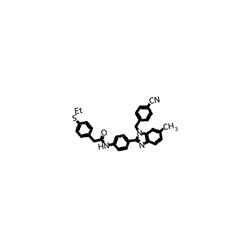 CCSc1ccc(CC(=O)Nc2ccc(-c3nc4ccc(C)cc4n3Cc3ccc(C#N)cc3)cc2)cc1